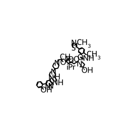 Cc1ncsc1-c1ccc([C@H](C)NC(=O)[C@@H]2C[C@@H](O)CN2C(=O)[C@@H](c2cc(O[C@@H](C)CN3CCC(N4CCN5c6cc(-c7ccccc7O)nnc6NC[C@@H]5C4)CC3)no2)C(C)C)cc1